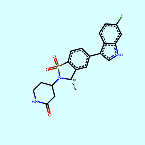 C[C@H]1c2cc(-c3c[nH]c4cc(F)ccc34)ccc2S(=O)(=O)N1C1CCNC(=O)C1